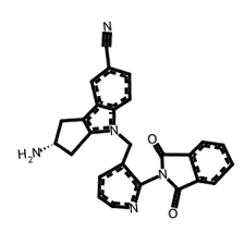 N#Cc1ccc2c(c1)c1c(n2Cc2cccnc2N2C(=O)c3ccccc3C2=O)C[C@H](N)C1